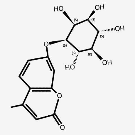 Cc1cc(=O)oc2cc(O[C@@H]3[C@@H](O)[C@H](O)[C@@H](O)[C@H](O)[C@@H]3O)ccc12